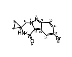 O=C1NC2(CC2)Cn2nc3ccc(Br)cc3c21